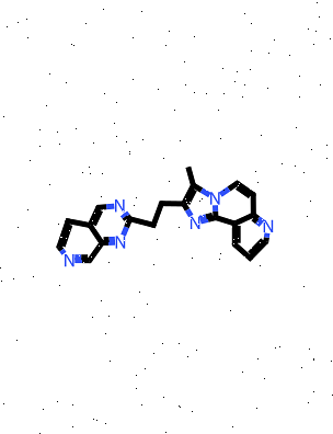 Cc1c(CCc2ncc3ccncc3n2)nc2c3cccnc3ccn12